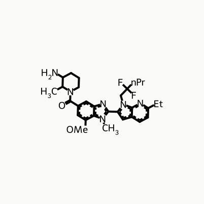 CCCC(F)(F)Cn1c(-c2nc3cc(C(=O)N4CCCC(N)C4C)cc(OC)c3n2C)cc2ccc(CC)nc21